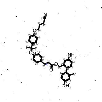 [CH2]c1cc(N)ccc1-c1ccc(N)cc1COC(=O)/C=C/c1ccc(OC(F)(F)c2ccc(OCCCC#N)cc2)cc1